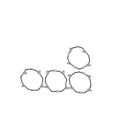 C1CNCCNCCCNCCNC1.C1CNCCNCCCNCCNC1.C1CNCCNCCCNCCNC1.C1CNCCNCCCNCCNC1